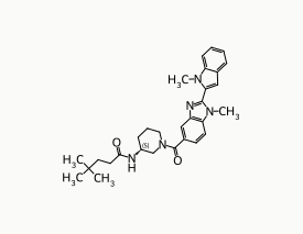 Cn1c(-c2nc3cc(C(=O)N4CCC[C@H](NC(=O)CCC(C)(C)C)C4)ccc3n2C)cc2ccccc21